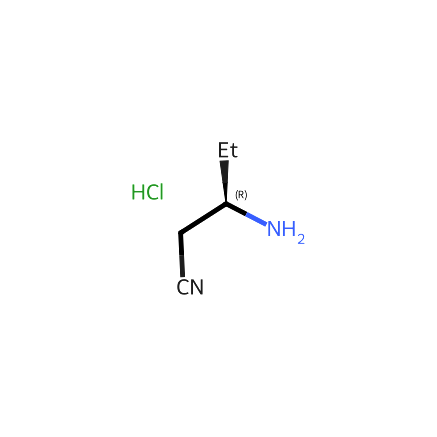 CC[C@@H](N)CC#N.Cl